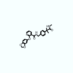 CNC(=O)C(C)(C)c1ccc(CNC(=O)c2cccnc2Oc2ccc3c(c2)OCO3)cc1